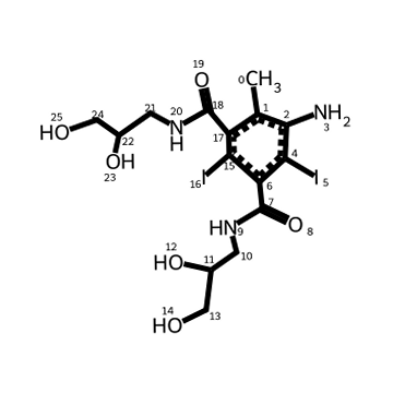 Cc1c(N)c(I)c(C(=O)NCC(O)CO)c(I)c1C(=O)NCC(O)CO